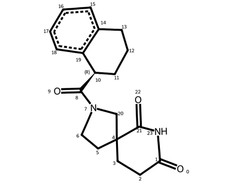 O=C1CCC2(CCN(C(=O)[C@@H]3CCCc4ccccc43)C2)C(=O)N1